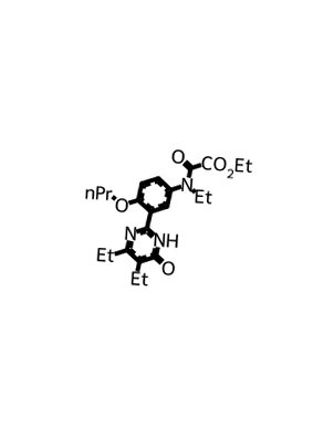 CCCOc1ccc(N(CC)C(=O)C(=O)OCC)cc1-c1nc(CC)c(CC)c(=O)[nH]1